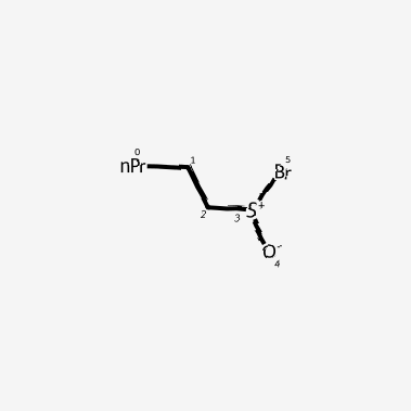 CCCCC[S+]([O-])Br